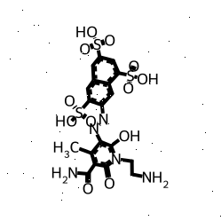 Cc1c(N=Nc2cc3c(S(=O)(=O)O)cc(S(=O)(=O)O)cc3cc2S(=O)(=O)O)c(O)n(CCN)c(=O)c1C(N)=O